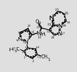 Cc1ccc(C)c(-n2nccc2NC(=O)c2cnn3cccnc23)c1